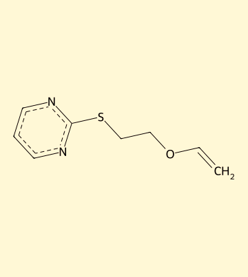 C=COCCSc1ncccn1